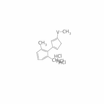 Cl.Cl.Cl.[CH3][V][C]1=CC(c2c(C)cccc2C)=CC1